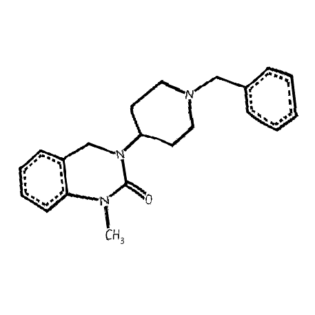 CN1C(=O)N(C2CCN(Cc3ccccc3)CC2)Cc2ccccc21